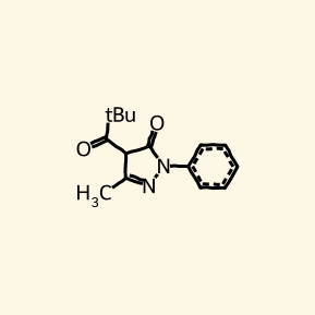 CC1=NN(c2ccccc2)C(=O)C1C(=O)C(C)(C)C